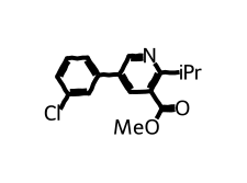 COC(=O)c1cc(-c2cccc(Cl)c2)cnc1C(C)C